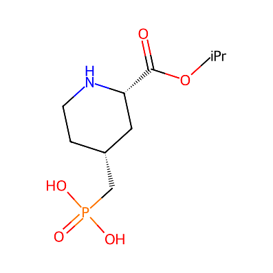 CC(C)OC(=O)[C@@H]1C[C@H](CP(=O)(O)O)CCN1